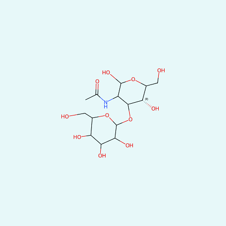 CC(=O)NC1C(O)OC(CO)[C@H](O)C1OC1OC(CO)C(O)C(O)C1O